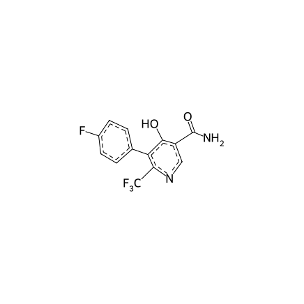 NC(=O)c1cnc(C(F)(F)F)c(-c2ccc(F)cc2)c1O